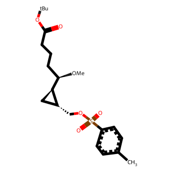 CO[C@H](CCCC(=O)OC(C)(C)C)[C@@H]1C[C@H]1COS(=O)(=O)c1ccc(C)cc1